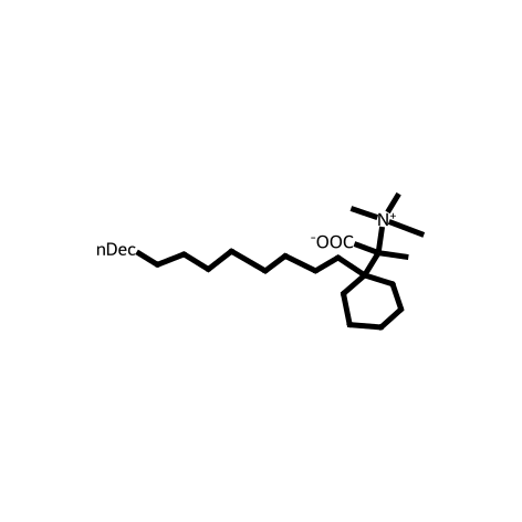 CCCCCCCCCCCCCCCCCCC1(C(C)(C(=O)[O-])[N+](C)(C)C)CCCCC1